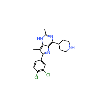 Cc1nc(C2CCNCC2)c2nc(-c3ccc(Cl)c(Cl)c3)c(C)c-2[nH]1